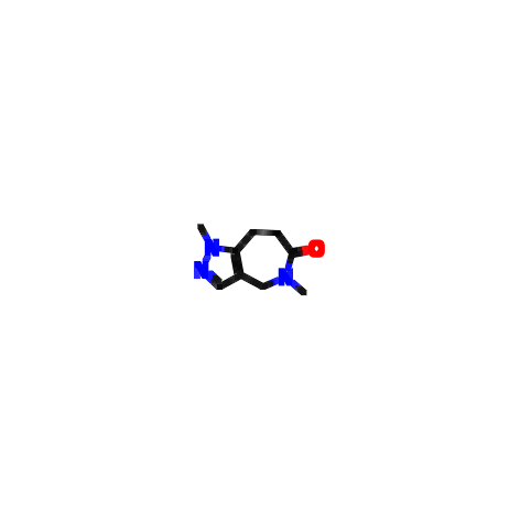 CN1Cc2cnn(C)c2CCC1=O